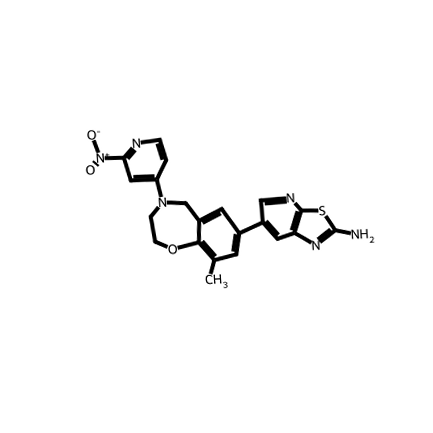 Cc1cc(-c2cnc3sc(N)nc3c2)cc2c1OCCN(c1ccnc([N+](=O)[O-])c1)C2